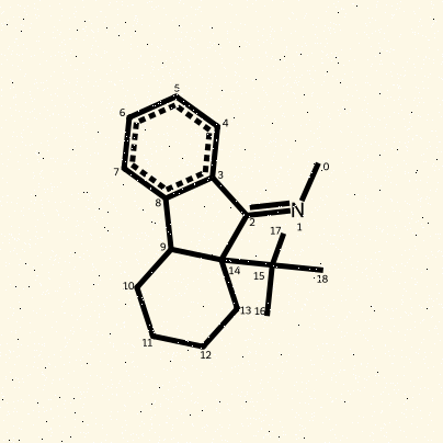 CN=C1c2ccccc2C2CCCCC12C(C)(C)C